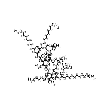 CCCCCCCCCCCC(=O)O[C@H](CCCCCCCCCCC)CC(=O)OC1[C@H](OP(=O)(OCCCC)OCCCC)C(COCCCC)O[C@@H](OCC2O[C@H](OCCCC)C(C)[C@@H](OC(=O)C[C@@H](CCCCCCCCCCC)OCCCC)[C@@H]2OCCCC)[C@H]1C